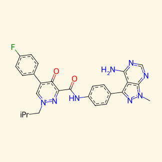 CC(C)Cn1cc(-c2ccc(F)cc2)c(=O)c(C(=O)Nc2ccc(-c3nn(C)c4ncnc(N)c34)cc2)n1